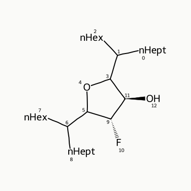 CCCCCCCC(CCCCCC)C1OC(C(CCCCCC)CCCCCCC)[C@@H](F)[C@@H]1O